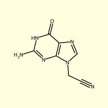 N#CCn1cnc2c(=O)[nH]c(N)nc21